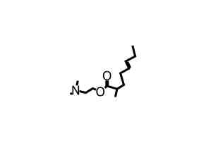 CCC=CCCC(C)C(=O)OCCN(C)C